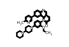 CCOc1cc(N2CCC(N3CCCCC3)CC2)ccc1-n1c(=O)ccc2cnc3ccc(-c4ccc(C)nc4)cc3c21